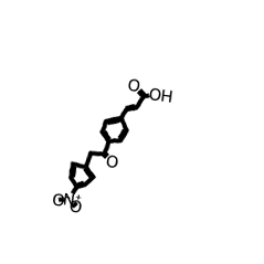 O=C(O)C=Cc1ccc(C(=O)Cc2ccc([N+](=O)[O-])cc2)cc1